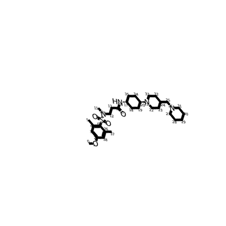 COc1cc(C)c(S(=O)(=O)N(C)CCC(=O)N[C@H]2CC[C@H](N3CCC(CN4CCCCC4)CC3)CC2)c(C)c1